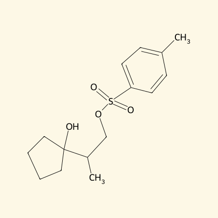 Cc1ccc(S(=O)(=O)OCC(C)C2(O)CCCC2)cc1